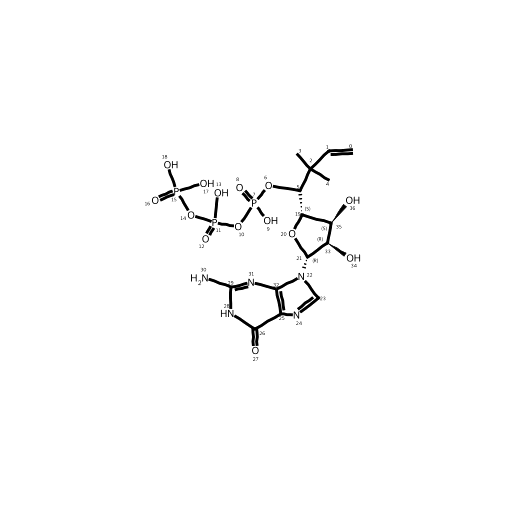 C=CC(C)(C)C(OP(=O)(O)OP(=O)(O)OP(=O)(O)O)[C@H]1O[C@@H](n2cnc3c(=O)[nH]c(N)nc32)[C@H](O)[C@@H]1O